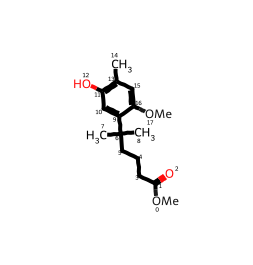 COC(=O)CCCC(C)(C)c1cc(O)c(C)cc1OC